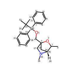 CC1OC2(CO[Si](c3ccccc3)(c3ccccc3)C(C)(C)C)C[C@H]1N(C)C2